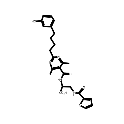 Cc1nc(CCCCc2cccc(O)c2)nc(C)c1C(=O)NC(CNC(=O)c1cccs1)C(=O)O